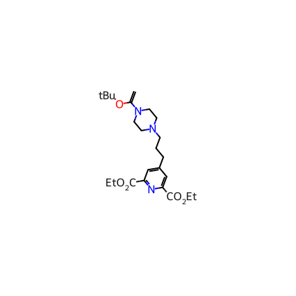 C=C(OC(C)(C)C)N1CCN(CCCc2cc(C(=O)OCC)nc(C(=O)OCC)c2)CC1